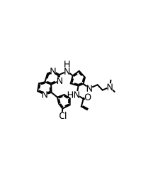 C=CC(=O)Nc1cc(Nc2ncc3ccnc(-c4cccc(Cl)c4)c3n2)ccc1N(C)CCN(C)C